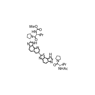 COC(=O)N[C@H](C(=O)N1CCC[C@H]1c1nc2ccc3cc(-c4nc5ccc6nc([C@@H]7CCCN7C(=O)[C@@H](NC(C)=O)C(C)C)[nH]c6c5s4)cnc3c2[nH]1)C(C)C